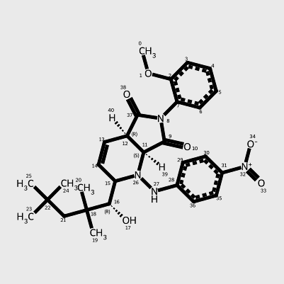 COc1ccccc1N1C(=O)[C@@H]2[C@@H](C=CC([C@H](O)C(C)(C)CC(C)(C)C)N2Nc2ccc([N+](=O)[O-])cc2)C1=O